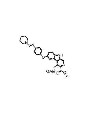 COCc1c(C(=O)OC(C)C)ncc2[nH]c3ccc(Oc4ccc(/N=N/N5CCCCC5)cc4)cc3c12